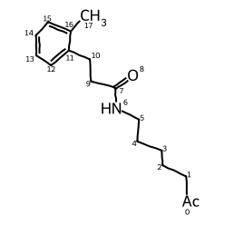 CC(=O)CCCCCNC(=O)CCc1ccccc1C